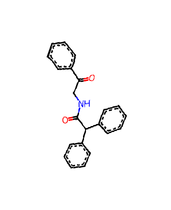 O=C(CNC(=O)C(c1ccccc1)c1ccccc1)c1ccccc1